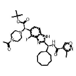 CC(=O)N1CCN([C@@H](C(=O)OC(C)(C)C)c2ccc3[nH]c([C@@H](NC(=O)c4conc4C)C4CCCCCCC4)nc3c2F)CC1